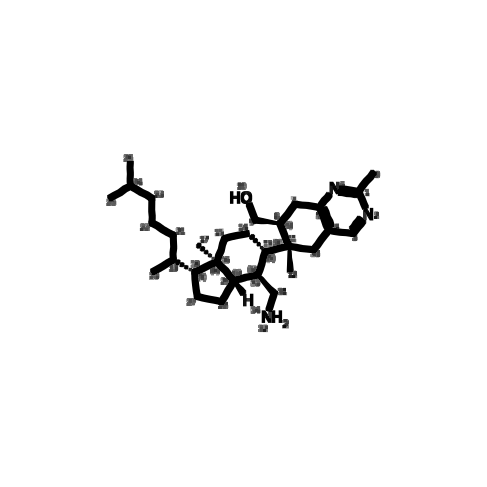 Cc1ncc2c(n1)C[C@H](CO)[C@@](C)([C@H]1CC[C@]3(C)[C@@H](C(C)CCCC(C)C)CC[C@H]3[C@@H]1CN)C2